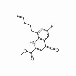 C=CCCCc1cc(F)cc2c1NC(C(=O)OC)=CC2=C=O